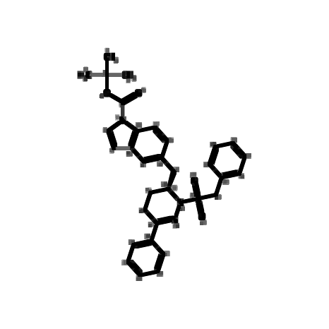 CC(C)(C)OC(=O)n1ccc2cc(C[C@@H]3CCC(c4ccccc4)=NN3S(=O)(=O)Cc3ccccc3)ccc21